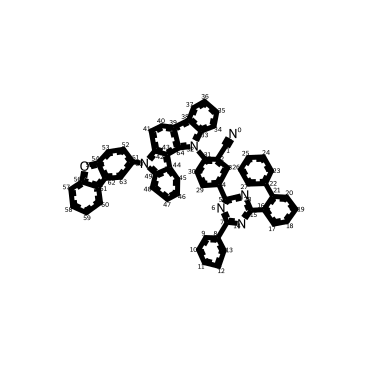 N#Cc1cc(-c2nc(-c3ccccc3)nc(-c3ccccc3-c3ccccc3)n2)ccc1-n1c2ccccc2c2ccc3c(c4ccccc4n3-c3ccc4oc5ccccc5c4c3)c21